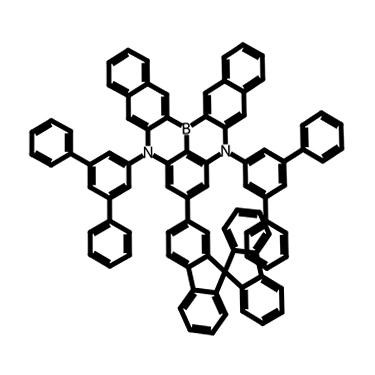 c1ccc(-c2cc(-c3ccccc3)cc(N3c4cc5ccccc5cc4B4c5cc6ccccc6cc5N(c5cc(-c6ccccc6)cc(-c6ccccc6)c5)c5cc(-c6ccc7c(c6)C6(c8ccccc8-c8ccccc86)c6ccccc6-7)cc3c54)c2)cc1